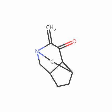 C=C1C(=O)C2C3CCC2CN1C3